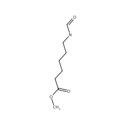 COC(=O)CCCCC[N]C=O